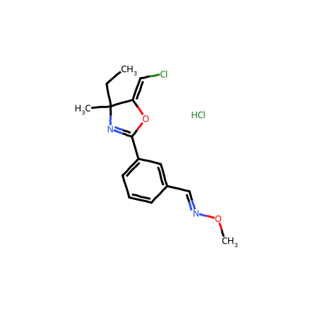 CCC1(C)N=C(c2cccc(C=NOC)c2)OC1=CCl.Cl